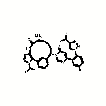 C[C@@H]1CCC[C@H](n2cnc(-c3cc(Cl)ccc3-n3cc(C(F)F)nn3)cc2=O)c2cc(ccn2)-c2c(cnn2C(F)F)NC1=O